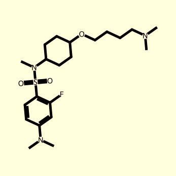 CN(C)CCCCOC1CCC(N(C)S(=O)(=O)c2ccc(N(C)C)cc2F)CC1